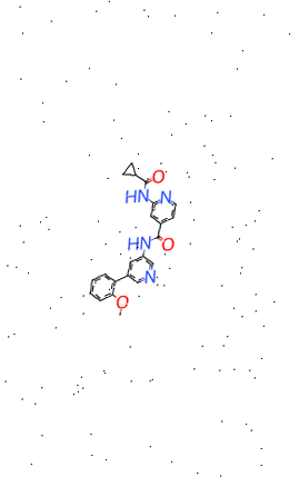 COc1ccccc1-c1cncc(NC(=O)c2ccnc(NC(=O)C3CC3)c2)c1